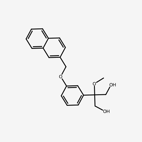 COC(CO)(CO)c1cccc(OCc2ccc3ccccc3c2)c1